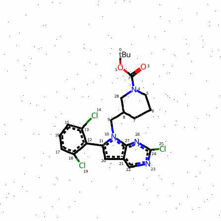 CC(C)(C)OC(=O)N1CCCC(Cn2c(-c3c(Cl)cccc3Cl)cc3cnc(Cl)nc32)C1